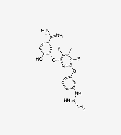 Cc1c(F)c(Oc2cccc(NC(=N)N)c2)nc(Oc2cc(C(=N)N)ccc2O)c1F